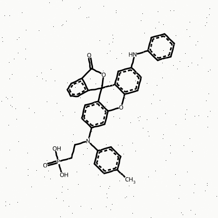 Cc1ccc(N(CCP(=O)(O)O)c2ccc3c(c2)Oc2ccc(Nc4ccccc4)cc2C32OC(=O)c3ccccc32)cc1